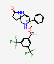 C[C@@H](OC[C@@]1(c2ccccc2)C=CC2(CCC(=O)N2)CN1)c1cc(C(F)(F)F)cc(C(F)(F)F)c1